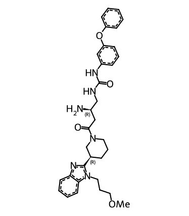 COCCCn1c([C@@H]2CCCN(C(=O)C[C@@H](N)CNC(=O)Nc3cccc(Oc4ccccc4)c3)C2)nc2ccccc21